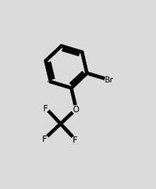 FC(F)(F)Oc1[c]cccc1Br